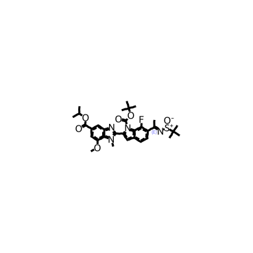 COc1cc(C(=O)OC(C)C)cc2nc(-c3cc4ccc(/C(C)=N/[S+]([O-])C(C)(C)C)c(F)c4n3C(=O)OC(C)(C)C)n(C)c12